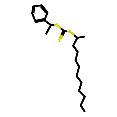 CCCCCCCCCCC(C)SC(=S)SC(C)c1ccccc1